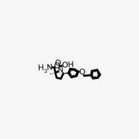 C[C@@]1(C(N)=O)CC[C@H](c2ccc(OCc3ccccc3)cc2)N1C(=O)O